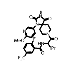 COc1ccc(N2C(=O)N(C)C(=O)C23CCN(C(=O)C(NC(=O)c2cc(C(F)(F)F)ccc2F)C(C)C)CC3)cn1